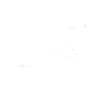 COc1ccc2ccc(OCC3CN(c4cccc(C(=N)N)c4)C(=O)O3)cc2c1